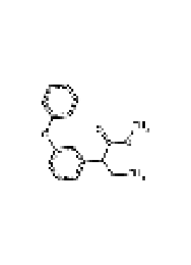 CCC(C(=O)OC)c1cccc(Oc2ccccc2)c1